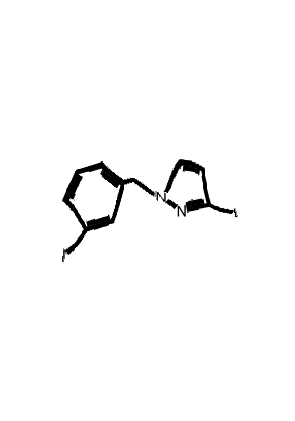 Ic1cccc(-n2ccc(I)n2)c1